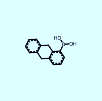 OB(O)c1cccc2c1Cc1ccccc1C2